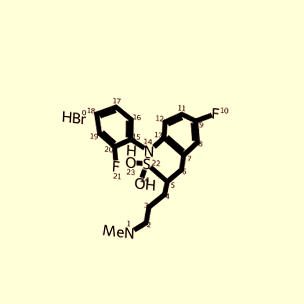 Br.CNCCCC1Cc2cc(F)ccc2N(c2ccccc2F)S1(O)O